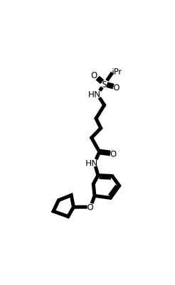 CC(C)S(=O)(=O)NCCCCC(=O)NC1=CC=CC(OC2CCCC2)C1